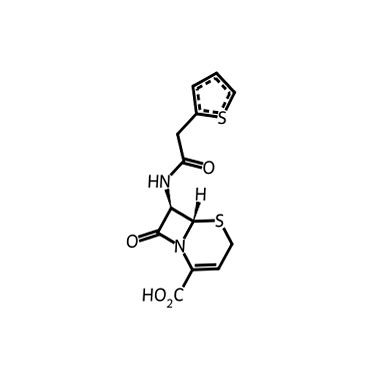 O=C(Cc1cccs1)N[C@@H]1C(=O)N2C(C(=O)O)=CCS[C@@H]12